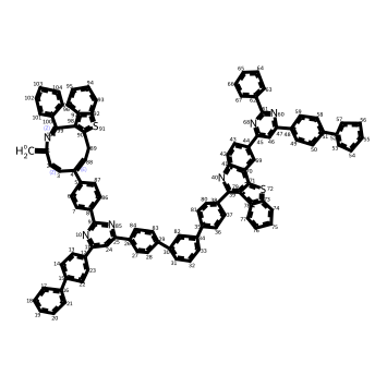 C=C1/C=C\C(c2ccc(-c3nc(-c4ccc(-c5ccccc5)cc4)cc(-c4ccc(-c5cccc(-c6ccc(-c7nc8ccc(-c9cc(-c%10ccc(-c%11ccccc%11)cc%10)nc(-c%10ccccc%10)n9)cc8c8sc9ccccc9c78)cc6)c5)cc4)n3)cc2)=C/Cc2sc3ccccc3c2/C(c2ccccc2)=N\1